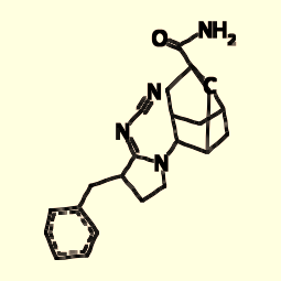 N#C/N=C1/C(Cc2ccccc2)CCN1C1C2CC3CC1CC(C(N)=O)(C3)C2